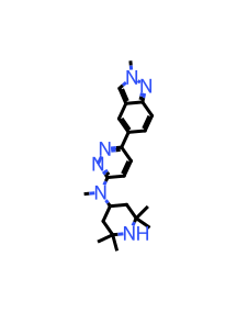 CN(c1ccc(-c2ccc3nn(C)cc3c2)nn1)C1CC(C)(C)NC(C)(C)C1